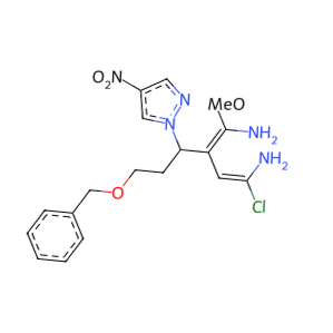 CO/C(N)=C(/C=C(\N)Cl)C(CCOCc1ccccc1)n1cc([N+](=O)[O-])cn1